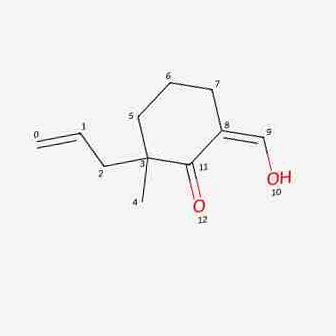 C=CCC1(C)CCCC(=CO)C1=O